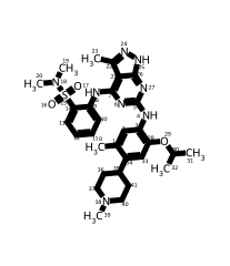 Cc1cc(Nc2nc(Nc3ccccc3S(=O)(=O)N(C)C)c3c(C)n[nH]c3n2)c(OC(C)C)cc1C1CCN(C)CC1